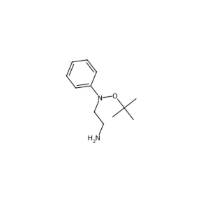 CC(C)(C)ON(CCN)c1cc[c]cc1